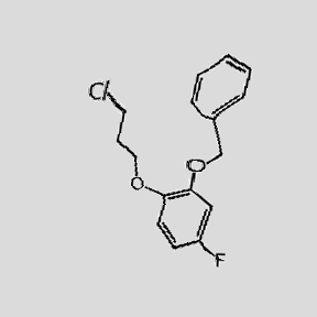 Fc1ccc(OCCCCl)c(OCc2ccccc2)c1